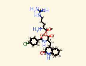 N=C(N)NCCC[C@H](N)C(=O)OC(=O)C(Cc1cc(=O)[nH]c2ccccc12)NC(=O)c1ccc(Cl)cc1